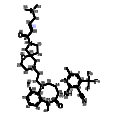 Cc1cc(C(F)(F)F)c(C#N)c(N[C@H]2CCN(CCN3CCOC4(CCN(C(=O)/C=C/CN(C)C)C4)C3)c3c(F)cccc3N(C)C2=O)n1